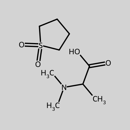 CC(C(=O)O)N(C)C.O=S1(=O)CCCC1